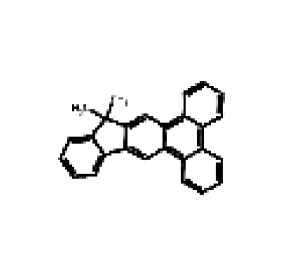 CC1(C)c2ccccc2-c2cc3c4ccccc4c4ccccc4c3cc21